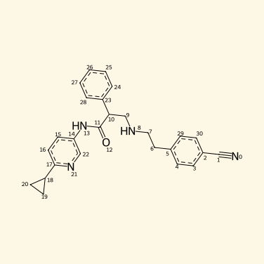 N#Cc1ccc(CCNCC(C(=O)Nc2ccc(C3CC3)nc2)c2ccccc2)cc1